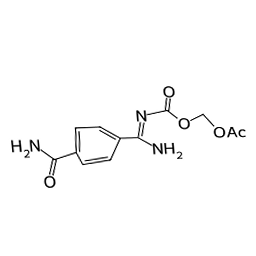 CC(=O)OCOC(=O)N=C(N)c1ccc(C(N)=O)cc1